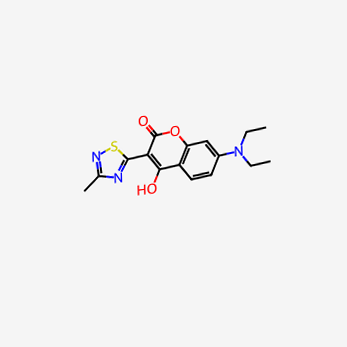 CCN(CC)c1ccc2c(O)c(-c3nc(C)ns3)c(=O)oc2c1